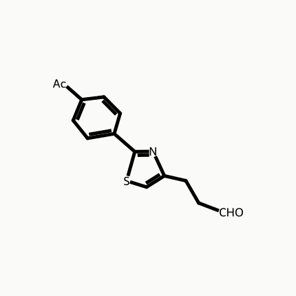 CC(=O)c1ccc(-c2nc(CCC=O)cs2)cc1